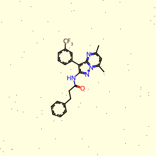 Cc1cc(C)n2nc(NC(=O)CCc3ccccc3)c(-c3cccc(C(F)(F)F)c3)c2n1